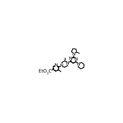 CCOC(=O)c1cnc(N2CCN(c3cc(N4CCCCC4)nc(N4CCCC4C)n3)C(C)C2)c(C)c1